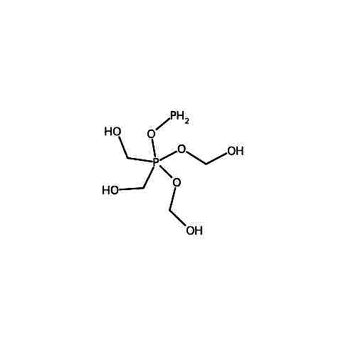 OCOP(CO)(CO)(OP)OCO